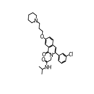 CC(C)NC(=O)Cn1c(-c2cccc(Cl)c2)cc2ccc(OCCCN3CCCCC3)cc2c1=O